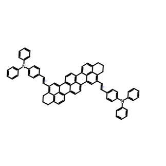 C(=C\c1cc2c3ccc4c5ccc6c7c(c(/C=C/c8ccc(N(c9ccccc9)c9ccccc9)cc8)cc(c8ccc(c9ccc%10c(c1CCC%10)c92)c3c48)c75)CCC6)/c1ccc(N(c2ccccc2)c2ccccc2)cc1